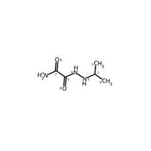 CC(C)NNC(=O)C(N)=O